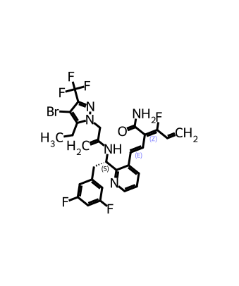 C=C/C(F)=C(\C=C\c1cccnc1[C@H](Cc1cc(F)cc(F)c1)NC(=C)Cn1nc(C(F)(F)F)c(Br)c1CC)C(N)=O